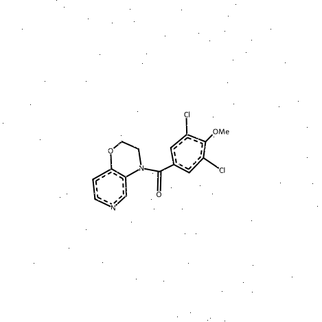 COc1c(Cl)cc(C(=O)N2CCOc3ccncc32)cc1Cl